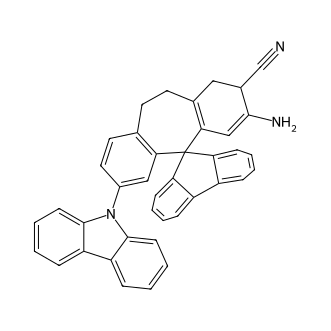 N#CC1CC2=C(C=C1N)C1(c3cc(-n4c5ccccc5c5ccccc54)ccc3CC2)c2ccccc2-c2ccccc21